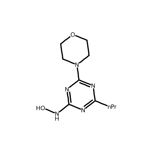 CCCc1nc(NO)nc(N2CCOCC2)n1